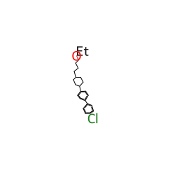 CCOCCCCC1CCC(c2ccc(-c3ccc(Cl)cc3)cc2)CC1